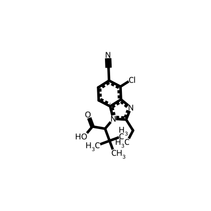 CCc1nc2c(Cl)c(C#N)ccc2n1C(C(=O)O)C(C)(C)C